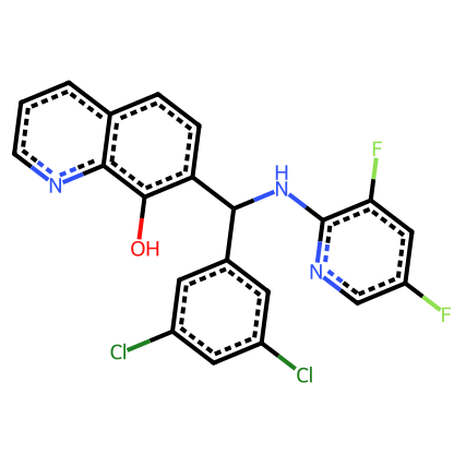 Oc1c(C(Nc2ncc(F)cc2F)c2cc(Cl)cc(Cl)c2)ccc2cccnc12